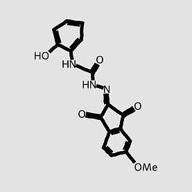 COc1ccc2c(=O)/c(=N\NC(=O)Nc3ccccc3O)c(=O)c2c1